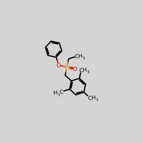 CCP(=O)(Cc1c(C)cc(C)cc1C)Oc1ccccc1